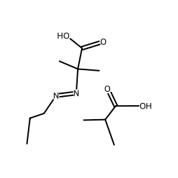 CC(C)C(=O)O.CCCN=NC(C)(C)C(=O)O